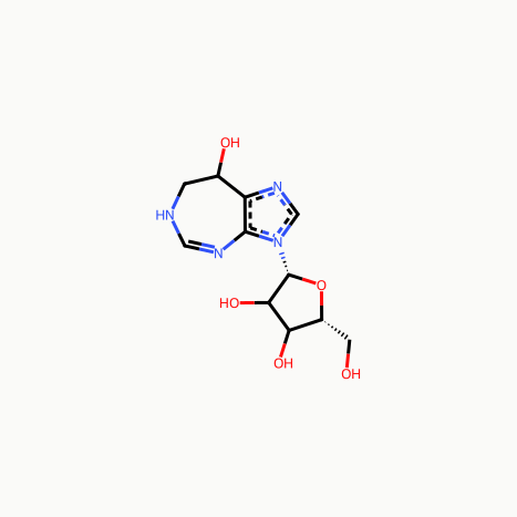 OC[C@H]1O[C@@H](n2cnc3c2N=CNCC3O)C(O)C1O